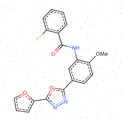 COc1ccc(-c2nnc(-c3ccco3)o2)cc1NC(=O)c1ccccc1F